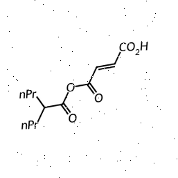 CCCC(CCC)C(=O)OC(=O)/C=C/C(=O)O